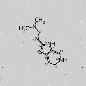 CN(C)CN=c1[nH]c2c(s1)=CCNC=2